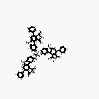 O=C1NC(=O)c2c1c(-c1ccccc1)cc1[nH]c3ccc(OP(=O)(Oc4ccc5[nH]c6cc(-c7ccccc7)c7c(c6c5c4)C(=O)NC7=O)Oc4ccc5[nH]c6cc(-c7ccccc7)c7c(c6c5c4)C(=O)NC7=O)cc3c21